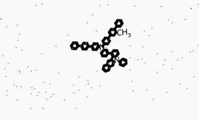 CC1CC(c2ccc(N(c3ccc(-c4ccc(-c5ccccc5)cc4)cc3)c3cccc(-c4cccc5c4c4cc6ccccc6cc4n5-c4ccccc4)c3)cc2)=CC=C1c1ccccc1